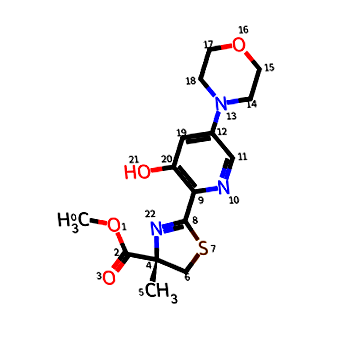 COC(=O)[C@@]1(C)CSC(c2ncc(N3CCOCC3)cc2O)=N1